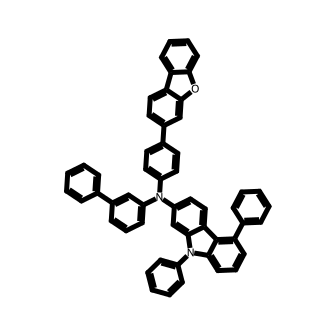 c1ccc(-c2cccc(N(c3ccc(-c4ccc5c(c4)oc4ccccc45)cc3)c3ccc4c5c(-c6ccccc6)cccc5n(-c5ccccc5)c4c3)c2)cc1